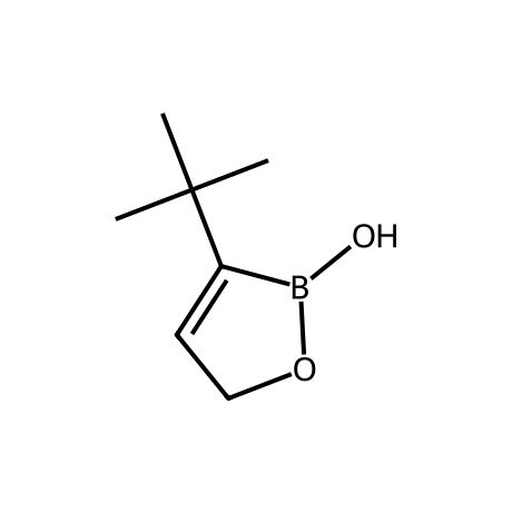 CC(C)(C)C1=CCOB1O